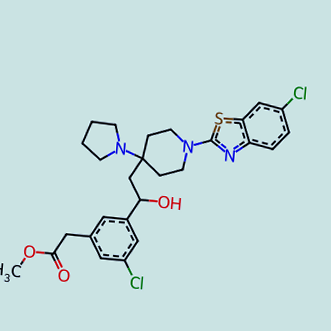 COC(=O)Cc1cc(Cl)cc(C(O)CC2(N3CCCC3)CCN(c3nc4ccc(Cl)cc4s3)CC2)c1